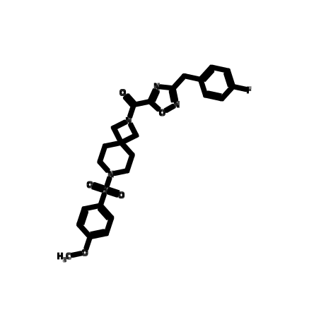 COc1ccc(S(=O)(=O)N2CCC3(CC2)CN(C(=O)c2nc(Cc4ccc(F)cc4)no2)C3)cc1